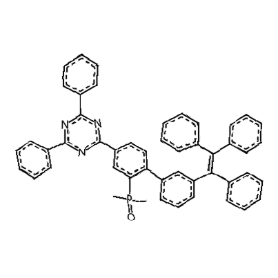 CP(C)(=O)c1cc(-c2nc(-c3ccccc3)nc(-c3ccccc3)n2)ccc1-c1cccc(C(=C(c2ccccc2)c2ccccc2)c2ccccc2)c1